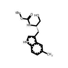 Cc1ccc2[nH]cc(C[C@@H](CO)NC(=O)OC(C)(C)C)c2c1